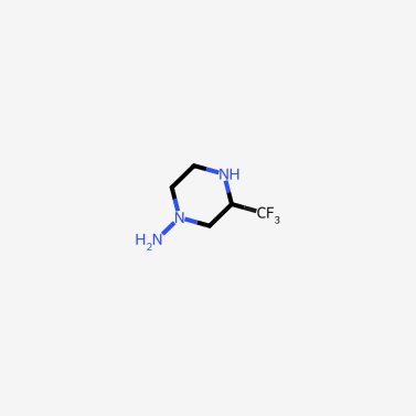 NN1CCNC(C(F)(F)F)C1